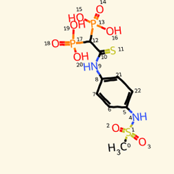 CS(=O)(=O)Nc1ccc(NC(=S)C(P(=O)(O)O)P(=O)(O)O)cc1